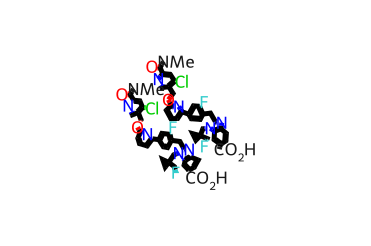 CNC(=O)c1cc(Cl)c(COc2cccc(-c3ccc(Cc4nc5ccc(C(=O)O)cc5n4CC4(CF)CC4)c(F)c3)n2)cn1.CNC(=O)c1cc(Cl)c(COc2cccc(-c3ccc(Cc4nc5ccc(C(=O)O)cc5n4CC4(CF)CC4)c(F)c3)n2)cn1